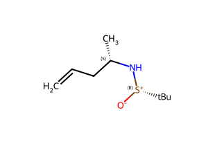 C=CC[C@H](C)N[S@@+]([O-])C(C)(C)C